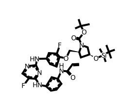 C=CC(=O)Nc1cccc(Nc2nc(Nc3ccc(OC[C@@H]4C[C@@H](O[Si](C)(C)C(C)(C)C)CN4C(=O)OC(C)(C)C)c(F)c3)ncc2F)c1